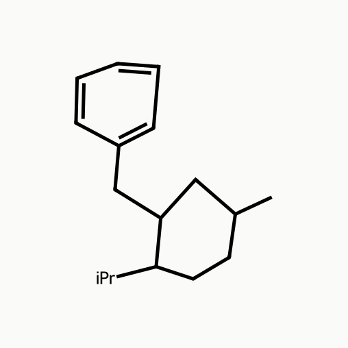 CC1CCC(C(C)C)C(Cc2ccccc2)C1